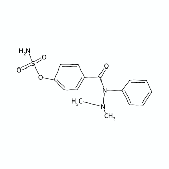 CN(C)N(C(=O)c1ccc(OS(N)(=O)=O)cc1)c1ccccc1